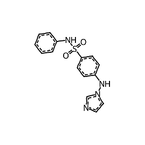 O=S(=O)(Nc1ccccc1)c1ccc(Nn2ccnc2)cc1